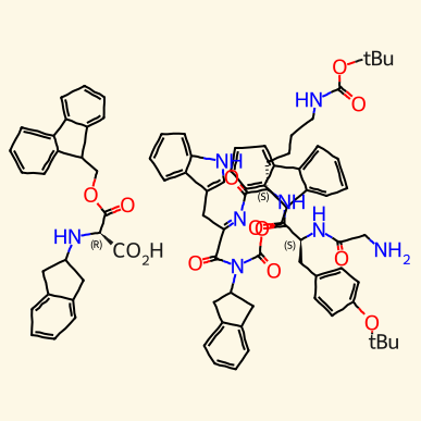 CC(C)(C)OC(=O)NCCCC[C@H](NC(=O)[C@H](Cc1ccc(OC(C)(C)C)cc1)NC(=O)CN)C(=O)N=C(Cc1c[nH]c2ccccc12)C(=O)N(C(=O)OCC1c2ccccc2-c2ccccc21)C1Cc2ccccc2C1.O=C(O)[C@@H](NC1Cc2ccccc2C1)C(=O)OCC1c2ccccc2-c2ccccc21